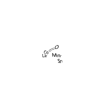 [La].[Mn].[O]=[Co].[Sr]